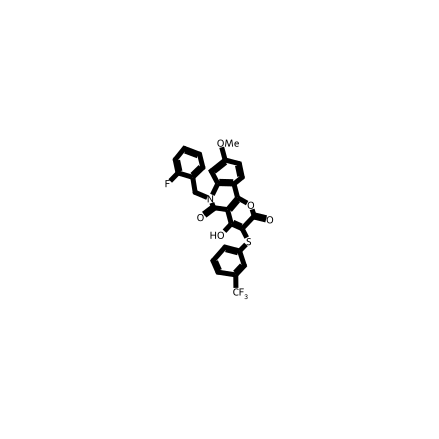 COc1ccc2c3oc(=O)c(Sc4cccc(C(F)(F)F)c4)c(O)c3c(=O)n(Cc3ccccc3F)c2c1